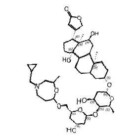 CC1CN(CC2CC2)CCC(OC[C@@H]2C[C@@H](O)C[C@H](O[C@@H]3[C@H](C)O[C@@H](O[C@H]4CC[C@@]5(C)C(CCC6C5C[C@H](O)[C@]5(C)[C@@H](C7=CC(=O)OC7)CC[C@]65O)C4)C[C@@H]3O)O2)O1